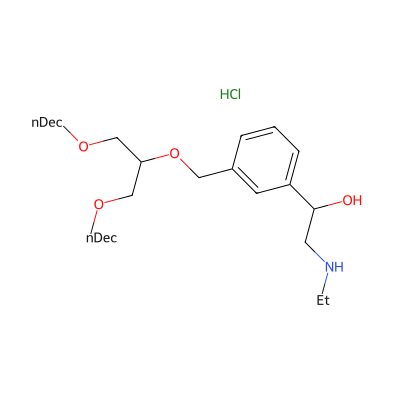 CCCCCCCCCCOCC(COCCCCCCCCCC)OCc1cccc(C(O)CNCC)c1.Cl